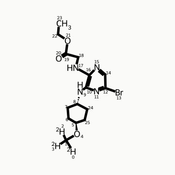 [2H]C([2H])([2H])O[C@H]1CC[C@H](Nc2nc(Br)cnc2NCC(=O)OCC)CC1